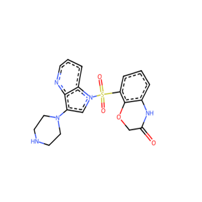 O=C1COc2c(cccc2S(=O)(=O)n2cc(N3CCNCC3)c3ncccc32)N1